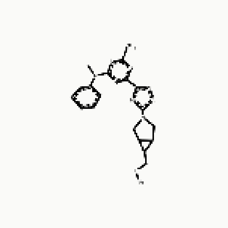 CC(C)OCC1C2CN(c3nc(-c4nc(N)nc(N(C)c5ccccc5)n4)no3)CC12